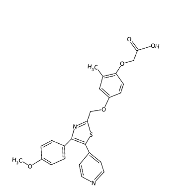 COc1ccc(-c2nc(COc3ccc(OCC(=O)O)c(C)c3)sc2-c2ccncc2)cc1